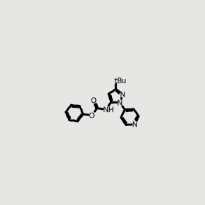 CC(C)(C)c1cc(NC(=O)Oc2ccccc2)n(-c2ccncc2)n1